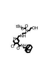 CC(C)(C)OC(=O)N(CCO)CCNCc1cc(C(=O)NCC23CC4CC(CC(C4)C2)C3)c(Cl)cn1